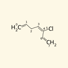 C=CC/C=C(/Cl)C=C